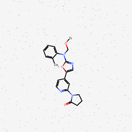 CCOCN(c1ncc(-c2ccnc(N3CCCC3=O)c2)o1)c1ccccc1C